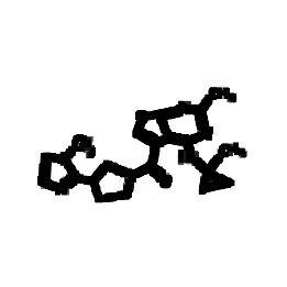 Cc1nc(NC2(C)CC2)c2c(C(=O)N3CCC(c4nccn4C)C3)coc2n1